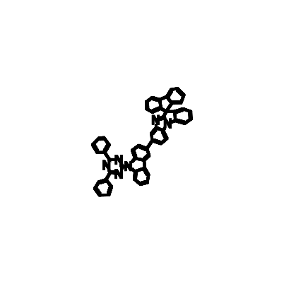 c1ccc(-c2nc(-c3ccccc3)nc(-n3c4ccccc4c4cc(-c5ccc6c(c5)nc5n6-c6ccccc6C56c5ccccc5-c5ccccc56)ccc43)n2)cc1